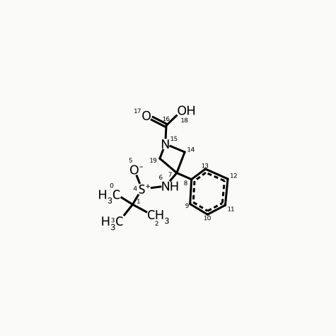 CC(C)(C)[S+]([O-])NC1(c2ccccc2)CN(C(=O)O)C1